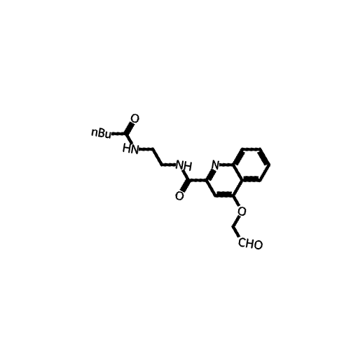 CCCCC(=O)NCCNC(=O)c1cc(OCC=O)c2ccccc2n1